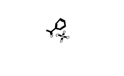 CC(=O)c1ccccc1.O=S(=O)(Cl)Cl